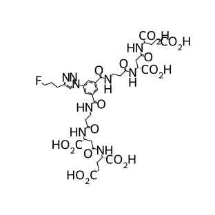 O=C(O)CCC(NC(=O)C[C@@H](NC(=O)CCNC(=O)c1cc(C(=O)NCCC(=O)N[C@H](CC(=O)N[C@@H](CCC(=O)O)C(=O)O)C(=O)O)cc(-n2cc(CCCF)nn2)c1)C(=O)O)C(=O)O